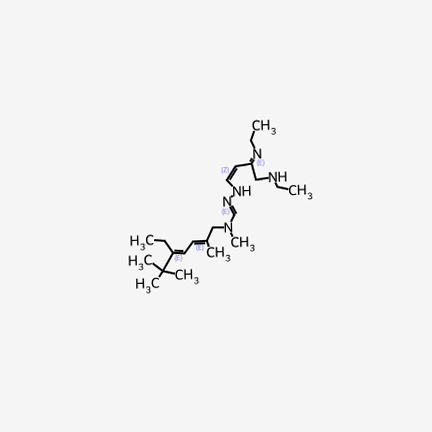 CC/N=C(\C=C/N/N=C/N(C)C/C(C)=C/C=C(\CC)C(C)(C)C)CNCC